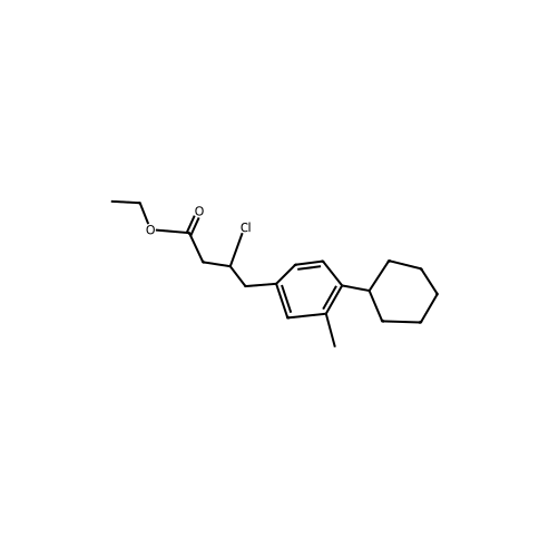 CCOC(=O)CC(Cl)Cc1ccc(C2CCCCC2)c(C)c1